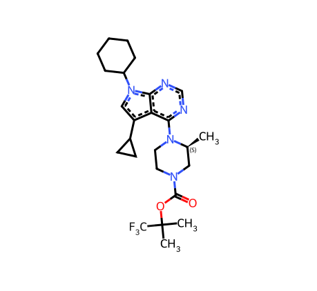 C[C@H]1CN(C(=O)OC(C)(C)C(F)(F)F)CCN1c1ncnc2c1c(C1CC1)cn2C1CCCCC1